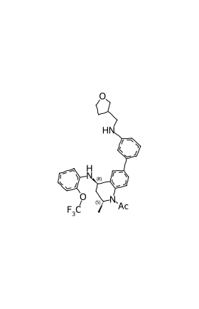 CC(=O)N1c2ccc(-c3cccc(NCC4CCOC4)c3)cc2[C@H](Nc2ccccc2OC(F)(F)F)C[C@@H]1C